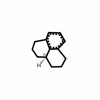 [CH]1CC[C@H]2CCCc3cccc1c32